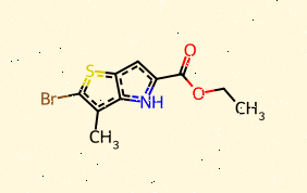 CCOC(=O)c1cc2sc(Br)c(C)c2[nH]1